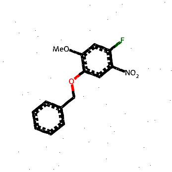 COc1cc(F)c([N+](=O)[O-])cc1OCc1ccccc1